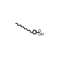 CCCCCCCCCCCC1CC=C(C(=O)O)CC1